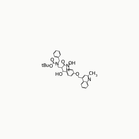 Cc1cc(COc2ccc(C(O)C(CN(Cc3ccccc3)C(=O)OC(C)(C)C)C(=O)NO)cc2)c2ccccc2n1